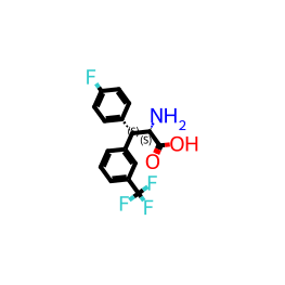 N[C@H](C(=O)O)[C@@H](c1ccc(F)cc1)c1cccc(C(F)(F)F)c1